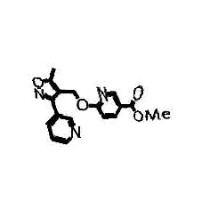 COC(=O)c1ccc(OCc2c(-c3cccnc3)noc2C)nc1